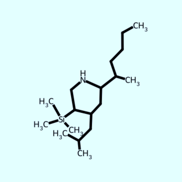 CCCCC(C)C1CC(CC(C)C)C([Si](C)(C)C)CN1